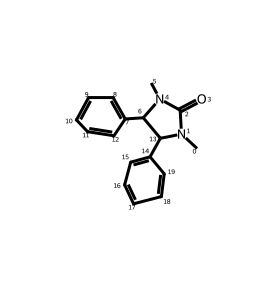 CN1C(=O)N(C)C(c2ccccc2)C1c1ccccc1